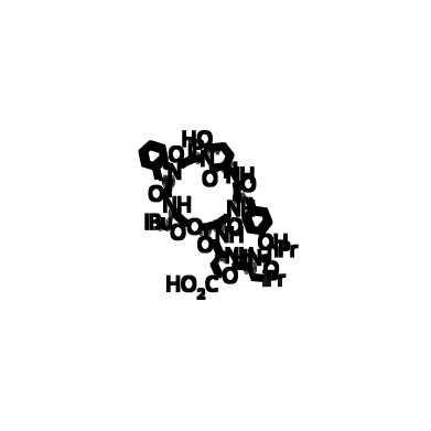 CCCC(=O)N[C@@H](CC(C)C)C(=O)N[C@@H](CCC(=O)O)C(=O)N[C@@H]1C(=O)N[C@@H](Cc2ccc(O)cc2)C(=O)N[C@H]2CC[C@@H](O)N(C2=O)[C@@H](C(C)C)C(=O)N(C)[C@@H](Cc2ccccc2)C(=O)N[C@@H]([C@@H](C)CC)C(=O)O[C@@H]1C